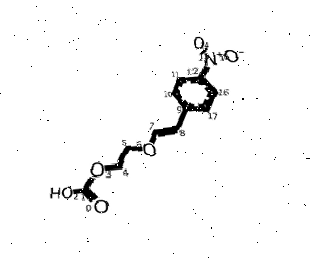 O=C(O)OCCOC=Cc1ccc([N+](=O)[O-])cc1